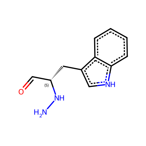 NN[C@H](C=O)Cc1c[nH]c2ccccc12